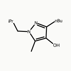 CCCCc1nn(CC(C)C)c(C)c1O